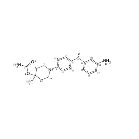 CC1(OC(N)=O)CCN(c2cnc(Sc3cccc(N)c3)cn2)CC1